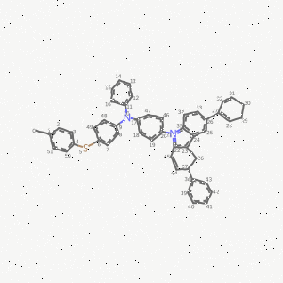 Cc1ccc(Sc2ccc(N(c3ccccc3)c3ccc(-n4c5c(c6cc(C7=CCCC=C7)ccc64)CC(c4ccccc4)C=C5)cc3)cc2)cc1